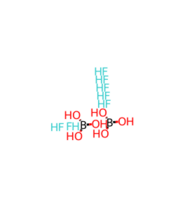 F.F.F.F.F.F.F.OB(O)O.OB(O)O